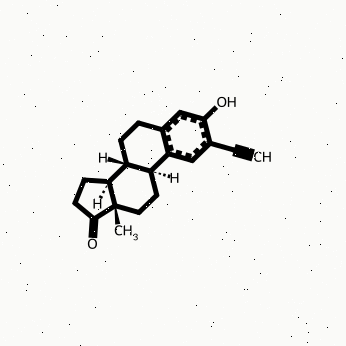 C#Cc1cc2c(cc1O)CC[C@@H]1[C@@H]2CC[C@]2(C)C(=O)CC[C@@H]12